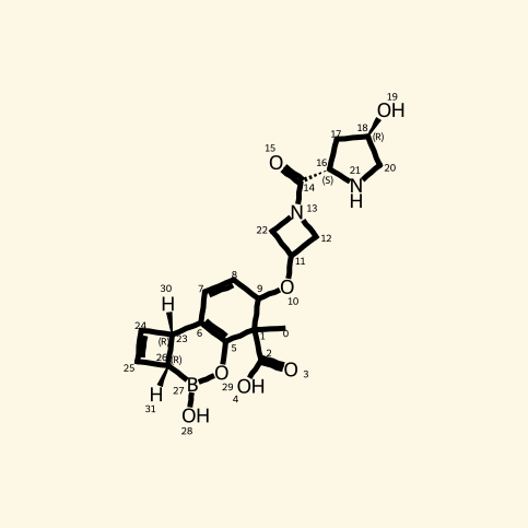 CC1(C(=O)O)C2=C(C=CC1OC1CN(C(=O)[C@@H]3C[C@@H](O)CN3)C1)[C@H]1C=C[C@H]1B(O)O2